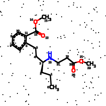 CCC[C@@H](CCc1ccccc1C(=O)OC)NCCC(=O)OC